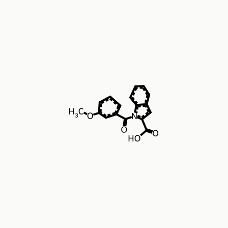 COc1cccc(C(=O)n2c(C(=O)O)cc3ccccc32)c1